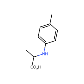 Cc1ccc(NC(C)C(=O)O)cc1